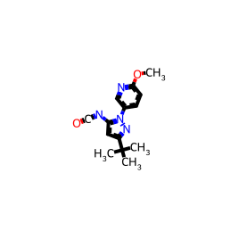 COc1ccc(-n2nc(C(C)(C)C)cc2N=C=O)cn1